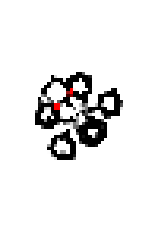 O=C1OCCCCC1N([Si](c1ccccc1)(c1ccccc1)c1ccccc1)[Si](c1ccccc1)(c1ccccc1)c1ccccc1